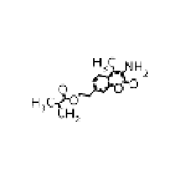 C=C(C)C(=O)OCCc1ccc2c(C)c(N)c(=O)oc2c1